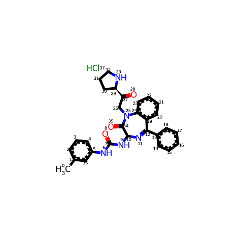 Cc1cccc(NC(=O)NC2N=C(c3ccccc3)c3ccccc3N(CC(=O)[C@H]3CCCN3)C2=O)c1.Cl